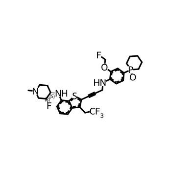 CN1CC[C@H](Nc2cccc3c(CC(F)(F)F)c(C#CCNc4ccc(P5(=O)CCCCC5)cc4OCF)sc23)[C@H](F)C1